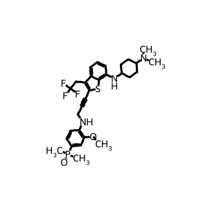 COc1cc(P(C)(C)=O)ccc1NCC#Cc1sc2c(NC3CCC(N(C)C)CC3)cccc2c1CC(F)(F)F